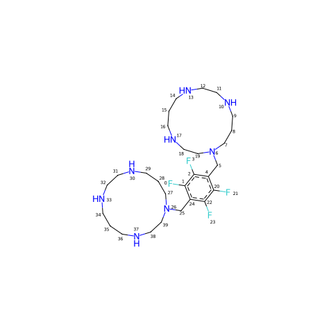 Fc1c(F)c(CN2CCCNCCNCCCNCC2)c(F)c(F)c1CN1CCCNCCNCCCNCC1